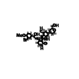 COc1ccc([C@@H](O)CNc2cc[nH]c(=O)c2-c2nc3c(C)cc(N4CCO[C@H](CO)C4)cc3[nH]2)cc1Br